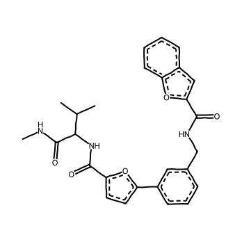 CNC(=O)C(NC(=O)c1ccc(-c2cccc(CNC(=O)c3cc4ccccc4o3)c2)o1)C(C)C